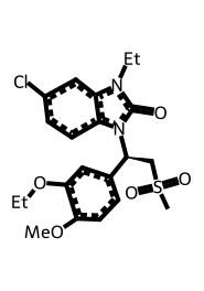 CCOc1cc([C@H](CS(C)(=O)=O)n2c(=O)n(CC)c3cc(Cl)ccc32)ccc1OC